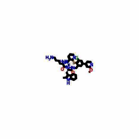 COc1cc(-c2cc(Cl)c(Sc3ncccc3CN)c(CNC(=O)[C@H](Cc3c(C)[nH]c4ccccc34)N(C)C(=O)[C@@H](N)CCCCN)c2)ccn1